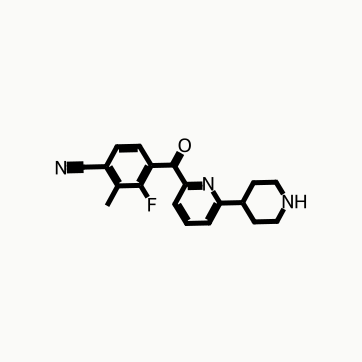 Cc1c(C#N)ccc(C(=O)c2cccc(C3CCNCC3)n2)c1F